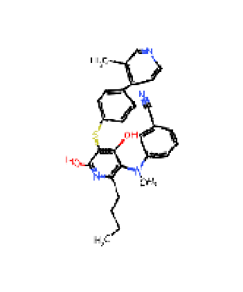 CCCCc1nc(O)c(Sc2ccc(-c3ccncc3C)cc2)c(O)c1N(C)c1cccc(C#N)c1